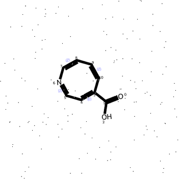 O=C(O)C1=C/C=N\C=C/C=C\1